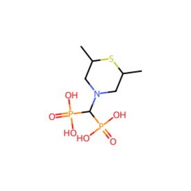 CC1CN(C(P(=O)(O)O)P(=O)(O)O)CC(C)S1